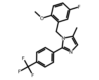 COc1ccc(F)cc1Cn1c(C)cnc1-c1ccc(C(F)(F)F)cc1